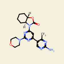 Nc1ncc(-c2cc(N3C(=O)O[C@H]4CCCC[C@@H]43)nc(N3CCOCC3)n2)c(C(F)(F)F)n1